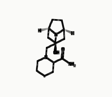 NC(=O)C1C[CH]CCN1CCN1[C@@H]2CC[C@H]1C[C@@H](O)C2